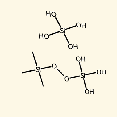 C[Si](C)(C)OO[Si](O)(O)O.O[Si](O)(O)O